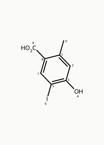 Cc1cc(O)c(I)cc1C(=O)O